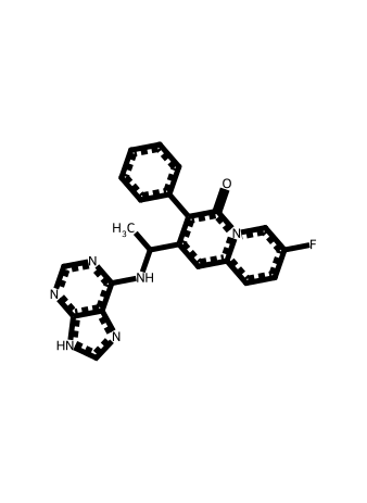 CC(Nc1ncnc2[nH]cnc12)c1cc2ccc(F)cn2c(=O)c1-c1ccccc1